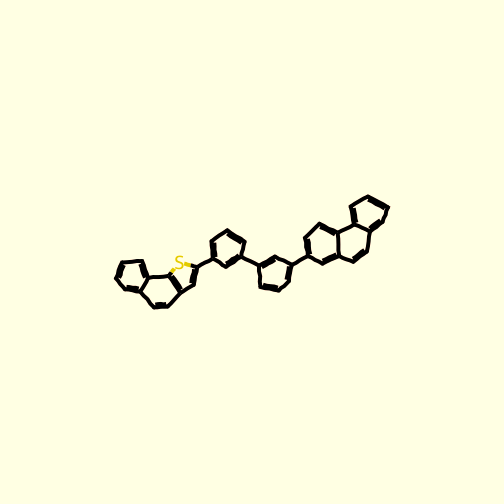 c1cc(-c2cccc(-c3cc4ccc5ccccc5c4s3)c2)cc(-c2ccc3c(ccc4ccccc43)c2)c1